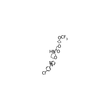 O=C(CO[C@H]1C[C@@H](OC(F)(F)F)C1)N[C@@H]1CC[C@@H](c2ccn(-c3ccc(Cl)cc3)n2)OC1